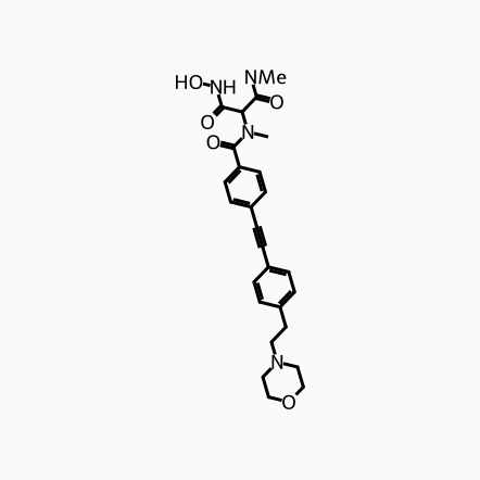 CNC(=O)C(C(=O)NO)N(C)C(=O)c1ccc(C#Cc2ccc(CCN3CCOCC3)cc2)cc1